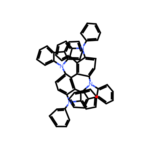 c1ccc(-n2c3ccccc3c3c(-c4c(-n5c6ccccc6c6ccccc65)ccc5c4c4ccccc4n5-c4ccccc4)c(-n4c5ccccc5c5ccccc54)ccc32)cc1